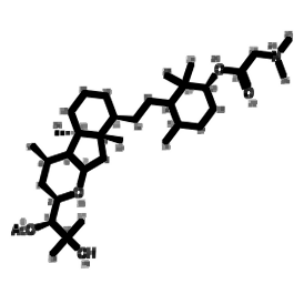 CC(=O)O[C@@H]([C@H]1C[C@@H](C)C2C(C[C@@]3(C)[C@H](CCC4C(C)CC[C@H](OC(=O)CN(C)C)C4(C)C)CCC[C@]23C)O1)C(C)(C)O